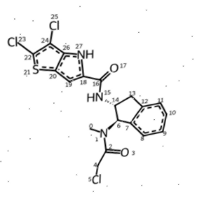 CN(C(=O)CCl)[C@@H]1c2ccccc2C[C@H]1NC(=O)c1cc2sc(Cl)c(Cl)c2[nH]1